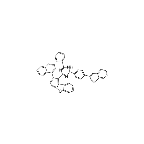 c1ccc(C2=NC(c3c(-c4cccc5ccccc45)ccc4oc5ccccc5c34)=NC(c3ccc(-c4ccc5ccccc5c4)cc3)N2)cc1